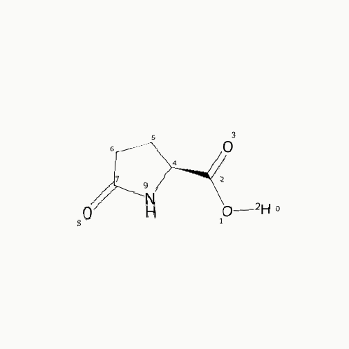 [2H]OC(=O)[C@@H]1CCC(=O)N1